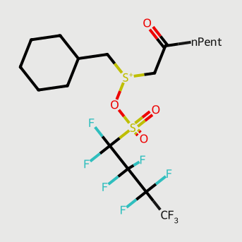 CCCCCC(=O)C[S+](CC1CCCCC1)OS(=O)(=O)C(F)(F)C(F)(F)C(F)(F)C(F)(F)F